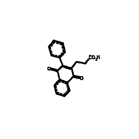 O=C(O)CCC1=C(c2ccccc2)C(=O)c2ccccc2C1=O